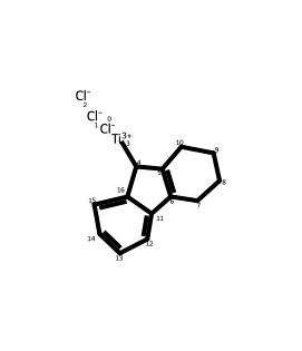 [Cl-].[Cl-].[Cl-].[Ti+3][CH]1C2=C(CCCC2)c2ccccc21